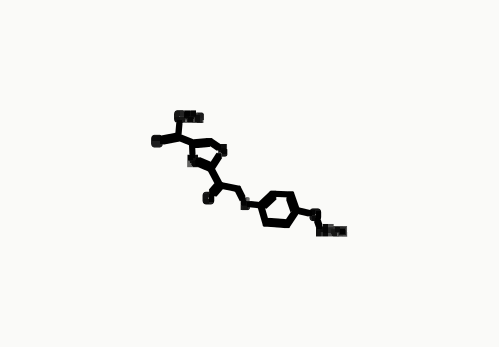 CCCCCCOc1ccc(SCC(=O)c2nc(C(=O)OC)cs2)cc1